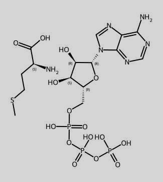 CSCC[C@H](N)C(=O)O.Nc1ncnc2c1ncn2[C@@H]1O[C@H](COP(=O)(O)OP(=O)(O)OP(=O)(O)O)[C@@H](O)[C@H]1O